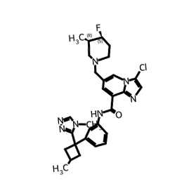 CC1CC(c2cccc(NC(=O)c3cc(CN4CC[C@H](F)[C@H](C)C4)cn4c(Cl)cnc34)c2)(c2nncn2C)C1